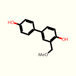 COCc1cc(-c2ccc(O)cc2)ccc1O